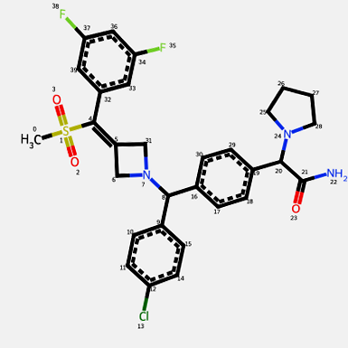 CS(=O)(=O)C(=C1CN(C(c2ccc(Cl)cc2)c2ccc(C(C(N)=O)N3CCCC3)cc2)C1)c1cc(F)cc(F)c1